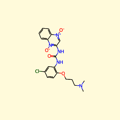 CN(C)CCCOc1ccc(Cl)cc1NC(=O)Nc1c[n+]([O-])c2ccccc2[n+]1[O-]